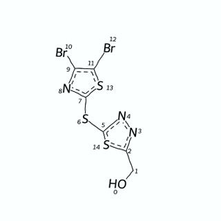 OCc1nnc(Sc2nc(Br)c(Br)s2)s1